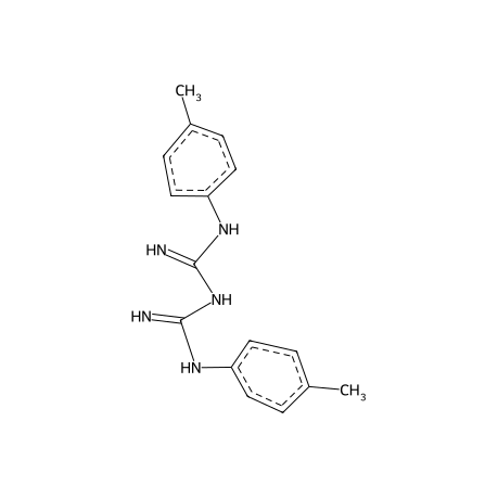 Cc1ccc(NC(=N)NC(=N)Nc2ccc(C)cc2)cc1